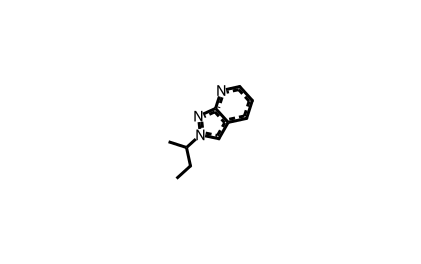 CCC(C)n1cc2cccnc2n1